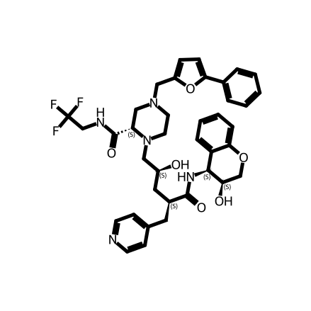 O=C(N[C@H]1c2ccccc2OC[C@H]1O)[C@@H](Cc1ccncc1)C[C@H](O)CN1CCN(Cc2ccc(-c3ccccc3)o2)C[C@H]1C(=O)NCC(F)(F)F